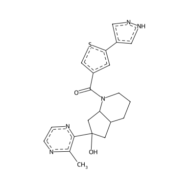 Cc1nccnc1C1(O)CC2CCCN(C(=O)c3csc(-c4cn[nH]c4)c3)C2C1